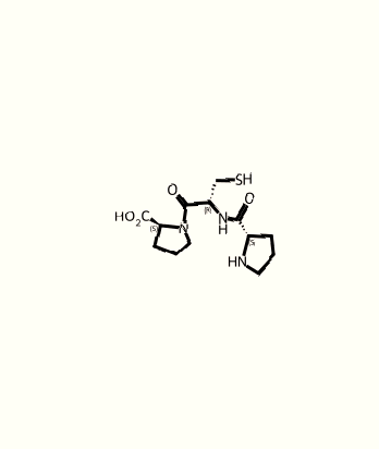 O=C(N[C@@H](CS)C(=O)N1CCC[C@H]1C(=O)O)[C@@H]1CCCN1